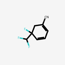 N#CC1=CC=CC(F)(C(F)F)C1